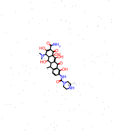 CC1c2ccc(NC(=O)N3CCN[C@@H](C)C3)c(O)c2C(=O)C2=C(O)C3(O)C(=O)C(C(N)=O)=C(O)C(N(C)C)C3C(O)C21